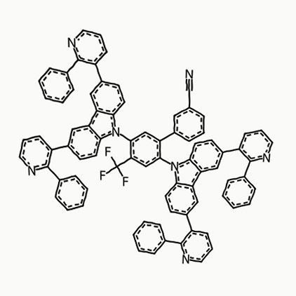 N#Cc1cccc(-c2cc(-n3c4ccc(-c5cccnc5-c5ccccc5)cc4c4cc(-c5cccnc5-c5ccccc5)ccc43)c(C(F)(F)F)cc2-n2c3ccc(-c4cccnc4-c4ccccc4)cc3c3cc(-c4cccnc4-c4ccccc4)ccc32)c1